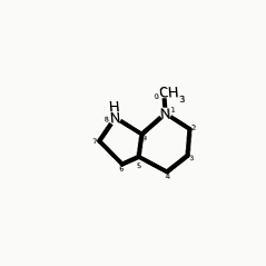 CN1CCCC2CCNC21